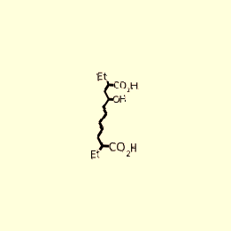 CCC(CCCCCC(O)CC(CC)C(=O)O)C(=O)O